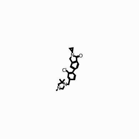 CN1CN(Cc2ccc(-c3ccc4c(c3)CN(C3CC3)C4=O)c(Cl)c2)C(C)(C)C1